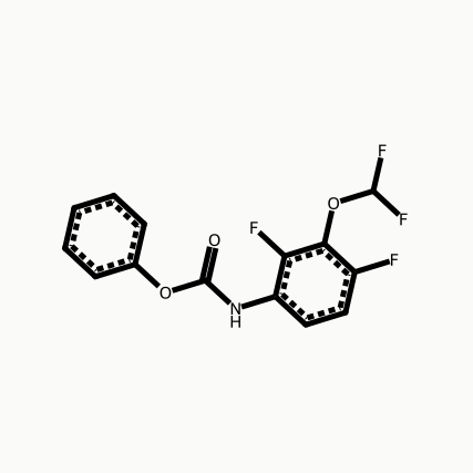 O=C(Nc1ccc(F)c(OC(F)F)c1F)Oc1ccccc1